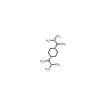 CC(N(C)C)N1CCN(C(C)N(C)C)CC1